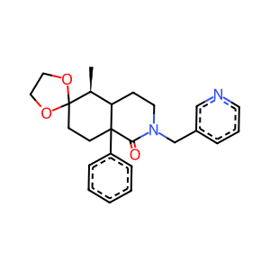 C[C@H]1C2CCN(Cc3cccnc3)C(=O)C2(c2ccccc2)CCC12OCCO2